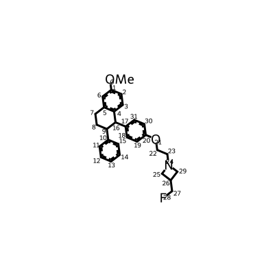 COc1ccc2c(c1)CCC(c1ccccc1)C2c1ccc(OCCN2CC(CF)C2)cc1